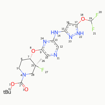 CC(C)(C)OC(=O)N1CC[C@H](Oc2cncc(Nc3cc(OC(F)F)[nH]n3)n2)[C@@](C)(F)C1